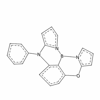 c1ccc(N2c3cccc4c3B(n3cccc3O4)n3cccc32)cc1